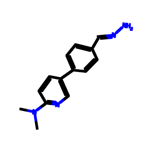 CN(C)c1ccc(-c2ccc(/[C]=N/N)cc2)cn1